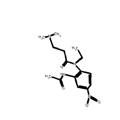 CCN(C(=O)CCN(C)C)c1ccc([N+](=O)[O-])cc1NC(C)=O